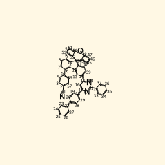 N#Cc1ccc(-c2cccc3c2-c2cc(-c4cc(-c5ccc(-c6ccccc6)cc5)nc(-c5ccccc5)n4)ccc2C32c3ccccc3Oc3ccccc32)cc1